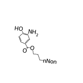 CCCCCCCCCCCCOC(=O)c1ccc(O)c(N)c1